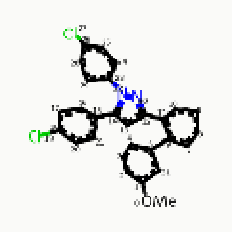 COc1cccc(-c2ccccc2-c2cc(-c3ccc(Cl)cc3)n(-c3ccc(Cl)cc3)n2)c1